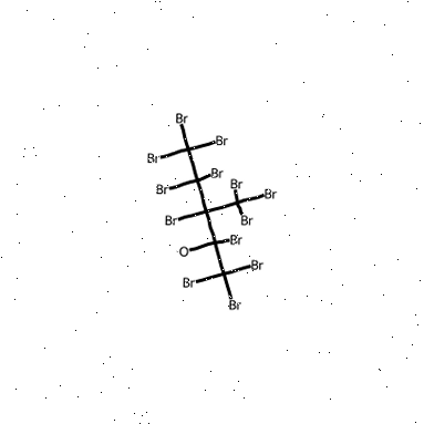 [O]C(Br)(C(Br)(Br)Br)C(Br)(C(Br)(Br)Br)C(Br)(Br)C(Br)(Br)Br